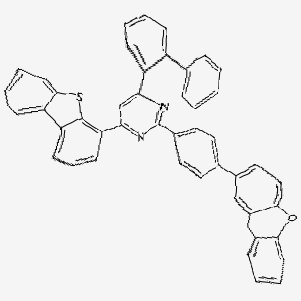 c1ccc(-c2ccccc2-c2cc(-c3cccc4c3sc3ccccc34)nc(-c3ccc(-c4ccc5oc6ccccc6c5c4)cc3)n2)cc1